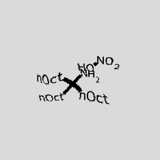 CCCCCCCCC(N)(CCCCCCCC)CCCCCCCC.O=[N+]([O-])O